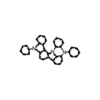 c1ccc(N2c3ccccc3-n3c4c2cccc4c2ccc4c(c5ccccc5n4-c4ccccc4)c23)cc1